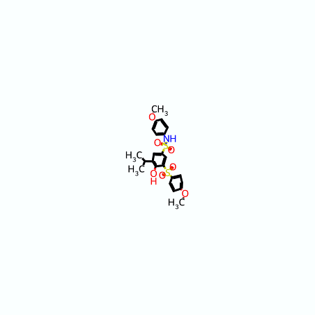 COc1ccc(NS(=O)(=O)c2cc(C(C)C)c(O)c(S(=O)(=O)c3ccc(OC)cc3)c2)cc1